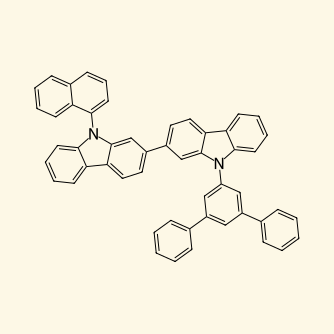 c1ccc(-c2cc(-c3ccccc3)cc(-n3c4ccccc4c4ccc(-c5ccc6c7ccccc7n(-c7cccc8ccccc78)c6c5)cc43)c2)cc1